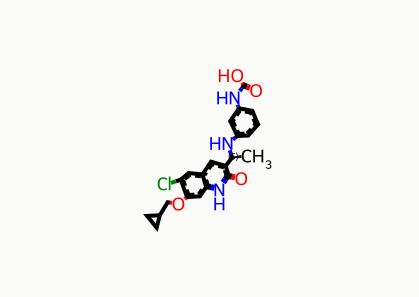 C[C@H](Nc1cccc(NC(=O)O)c1)c1cc2cc(Cl)c(OCC3CC3)cc2[nH]c1=O